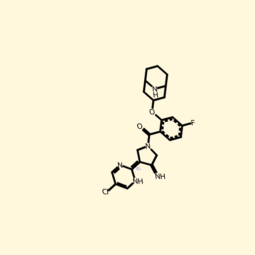 N=C1CN(C(=O)c2ccc(F)cc2OC2CC3CCCC(C2)N3)C/C1=C1\N=CC(Cl)=CN1